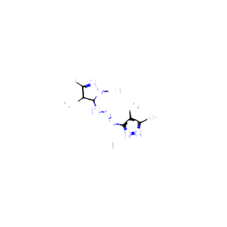 CN1N=C(C(C)(C)C)C(C#N)C1NN=Nc1c(C#N)c(C(C)(C)C)nn1C